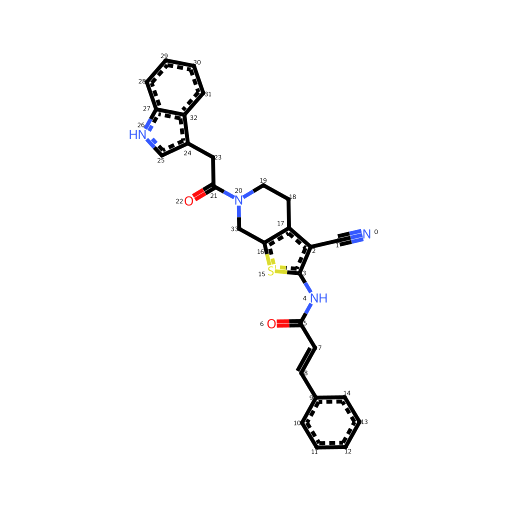 N#Cc1c(NC(=O)/C=C/c2ccccc2)sc2c1CCN(C(=O)Cc1c[nH]c3ccccc13)C2